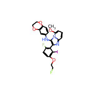 COc1cccc2nc(-c3c(F)ccc(OCCF)c3I)c(Nc3ccc4c(c3)OCCO4)n12